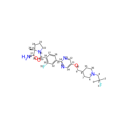 CC(C)(F)CN1CCC(COc2cnc(-c3ccc(C(=O)N4CCC[C@@]4(C)C(N)=O)c(F)c3)nc2)CC1